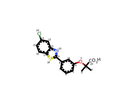 CC(C)(Oc1cccc(-c2nc3cc(Cl)ccc3s2)c1)C(=O)O